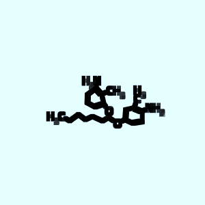 CCCCCCC(Oc1ccc(N)c(C)c1)Oc1cccc(N)c1C